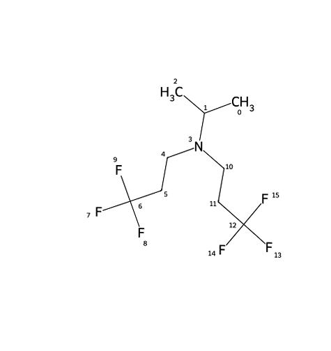 CC(C)N(CCC(F)(F)F)CCC(F)(F)F